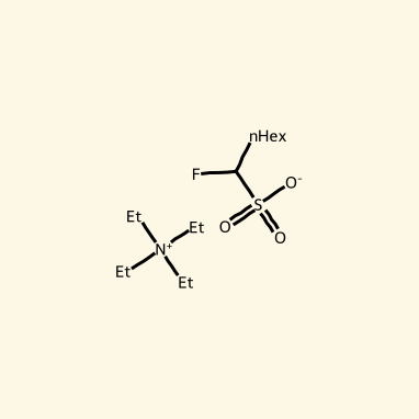 CCCCCCC(F)S(=O)(=O)[O-].CC[N+](CC)(CC)CC